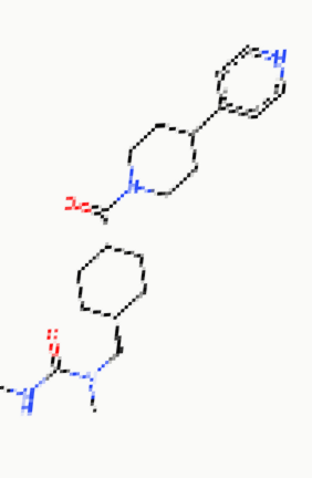 CN(C[C@H]1CC[C@H](C(=O)N2CCC(c3ccncc3)CC2)CC1)C(=O)NC(C)(C)C